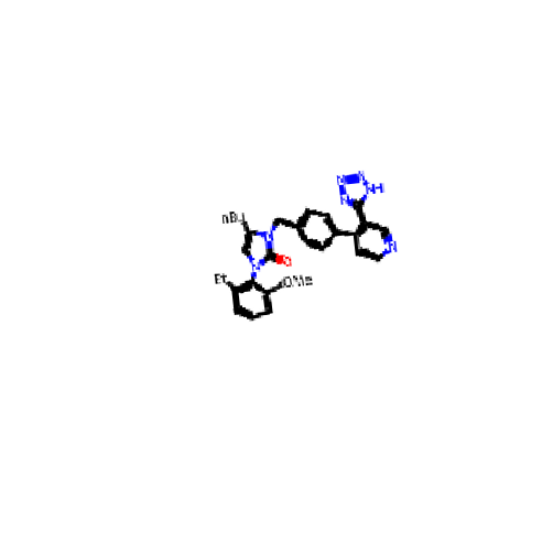 CCCCc1cn(-c2c(CC)cccc2OC)c(=O)n1Cc1ccc(-c2ccncc2-c2nnn[nH]2)cc1